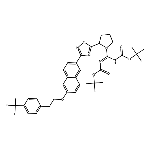 CC(C)(C)OC(=O)N=C(NC(=O)OC(C)(C)C)N1CCCC1c1nc(-c2ccc3cc(OCCc4ccc(C(F)(F)F)cc4)ccc3c2)no1